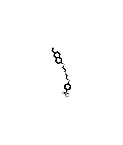 C=Cc1ccc2cc(OCCOCCOc3ccc(S(=O)(=O)O)cc3)ccc2c1